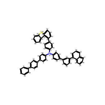 c1ccc(-c2ccc(-c3ccc(N(c4ccc(-c5cccc(-c6cccc7ccccc67)c5)cc4)c4ccc(-c5cccc6sc7ccccc7c56)cc4)cc3)cc2)cc1